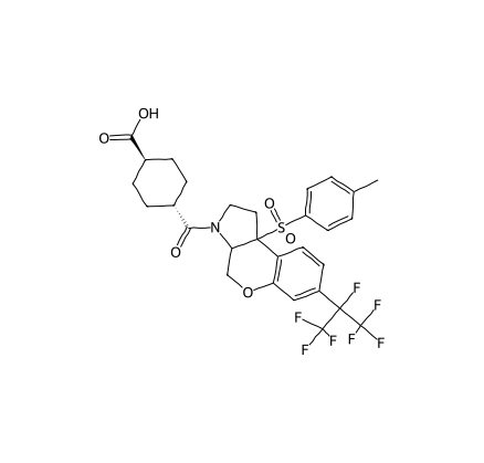 Cc1ccc(S(=O)(=O)C23CCN(C(=O)[C@H]4CC[C@H](C(=O)O)CC4)C2COc2cc(C(F)(C(F)(F)F)C(F)(F)F)ccc23)cc1